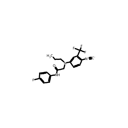 [C-]#[N+]c1ccc(N(CCC)CC(=O)Nc2ccc(F)cc2)cc1C(F)(F)F